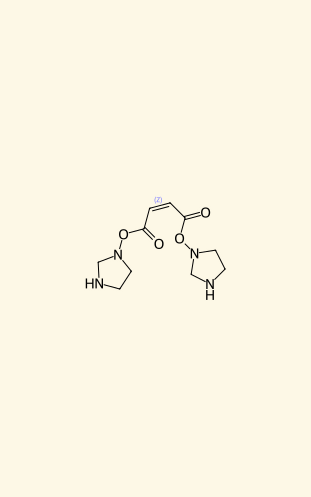 O=C(/C=C\C(=O)ON1CCNC1)ON1CCNC1